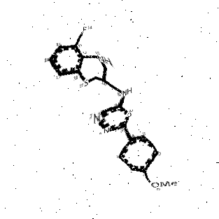 COc1ccc(-c2nnc(NC3Nc4c(F)cccc4S3)o2)cc1